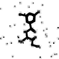 COC(=O)[C@@H](C)NC(=O)c1cc(Cl)cc(Cl)c1